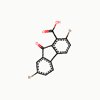 O=C(O)c1c(Br)ccc2c1C(=O)c1cc(Br)ccc1-2